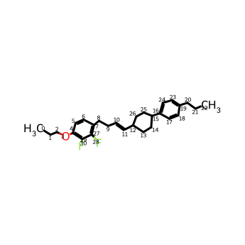 CCCOc1ccc(CC/C=C/C2CCC(c3ccc(CCC)cc3)CC2)c(F)c1F